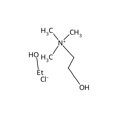 CCO.C[N+](C)(C)CCO.[Cl-]